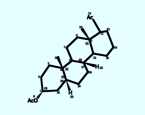 CC(=O)O[C@@H]1CC[C@]2(C)C3CC[C@]4(C)C(C(C)=O)CCCC4[C@@H]3CC[C@H]2C1